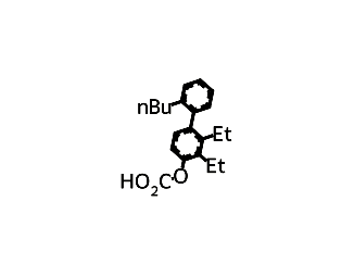 CCCCc1ccccc1-c1ccc(OC(=O)O)c(CC)c1CC